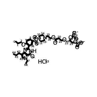 CCCOc1ccc(S(=O)(=O)N2CCN(CCOC(=O)CCOC[C@@H](CO[N+](=O)[O-])O[N+](=O)[O-])CC2)cc1-c1nc2c(CCC)cn(CC)c2c(=O)[nH]1.Cl